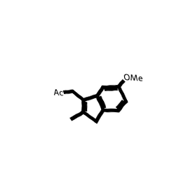 COc1ccc2c(c1)C(CC(C)=O)=C(C)C2